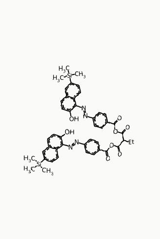 CCC(C(=O)OC(=O)c1ccc(N=Nc2c(O)ccc3cc([Si](C)(C)C)ccc23)cc1)C(=O)OC(=O)c1ccc(N=Nc2c(O)ccc3cc([Si](C)(C)C)ccc23)cc1